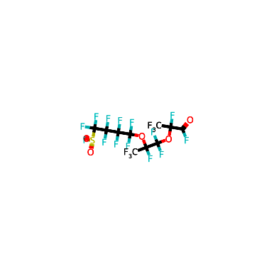 O=C(F)C(F)(OC(F)(F)C(F)(OC(F)(F)C(F)(F)C(F)(F)C(F)(F)S(=O)(=O)F)C(F)(F)F)C(F)(F)F